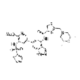 COc1ncc(-c2cc(NC(=O)c3csc(CN4C[C@@H](C)O[C@@H](C)C4)n3)c3cn[nH]c3c2)cc1NS(=O)(=O)c1cccs1